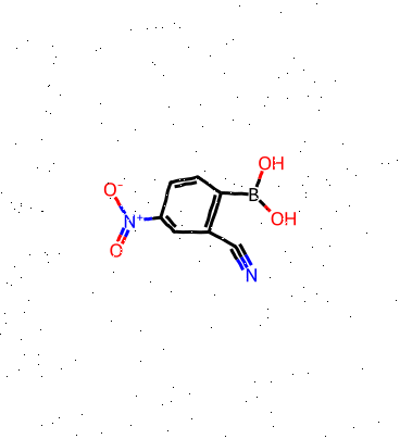 N#Cc1cc([N+](=O)[O-])ccc1B(O)O